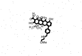 COCCNCc1ccc(-c2ccc(O)c3c2C[C@H]2C[C@H]4[C@H](N(C)C)C(O)=C(C(N)=O)C(=O)[C@@]4(O)C(O)=C2C3=O)cc1